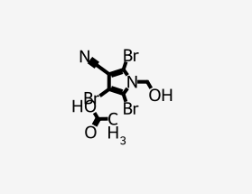 CC(=O)O.N#Cc1c(Br)c(Br)n(CO)c1Br